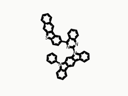 c1ccc(-n2c3ccccc3c3cc4c5ccccc5n(-c5nc(-c6ccc7sc8cc9ccccc9cc8c7c6)c6ccccc6n5)c4cc32)cc1